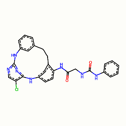 O=C(CNC(=O)Nc1ccccc1)Nc1ccc2cc1CCc1cccc(c1)Nc1ncc(Cl)c(n1)N2